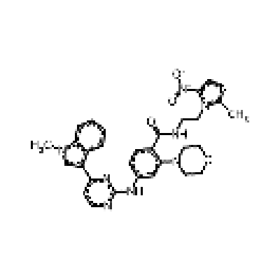 Cc1ncc([N+](=O)[O-])n1CCNC(=O)c1ccc(Nc2nccc(-c3cn(C)c4ccccc34)n2)cc1N1CCOCC1